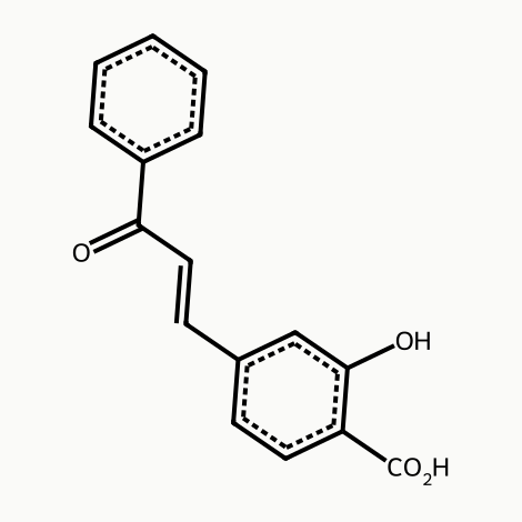 O=C(C=Cc1ccc(C(=O)O)c(O)c1)c1ccccc1